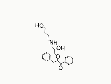 O=C(c1ccccc1)C(Cc1ccccc1)OCC(O)CNCCCCO